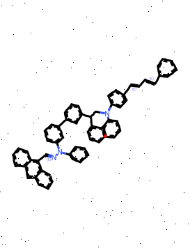 C(/C=C/c1ccc(N(CC(c2ccccc2)c2cccc(-c3cccc(N(/N=C/c4c5ccccc5cc5ccccc45)c4ccccc4)c3)c2)c2ccccc2)cc1)=C\c1ccccc1